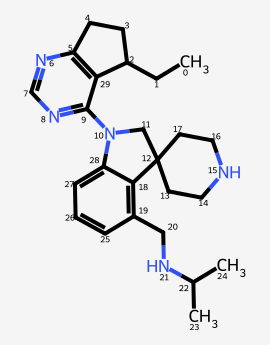 CCC1CCc2ncnc(N3CC4(CCNCC4)c4c(CNC(C)C)cccc43)c21